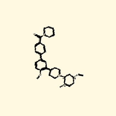 CC[C@@H]1CC[C@@H](C)[C@@H](N2CCC(c3cc(-c4ccc(C(=O)N5CCCCC5)cc4)ccc3OC)CC2)C1